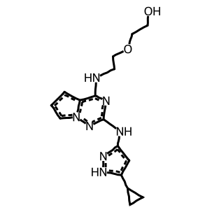 OCCOCCNc1nc(Nc2cc(C3CC3)[nH]n2)nn2cccc12